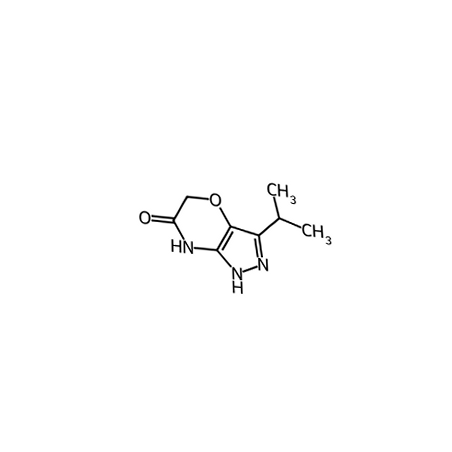 CC(C)c1n[nH]c2c1OCC(=O)N2